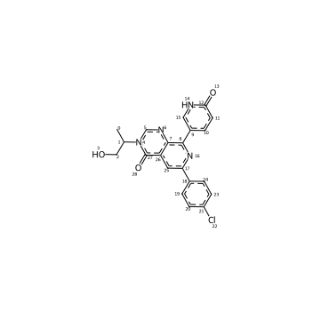 CC(CO)n1cnc2c(-c3ccc(=O)[nH]c3)nc(-c3ccc(Cl)cc3)cc2c1=O